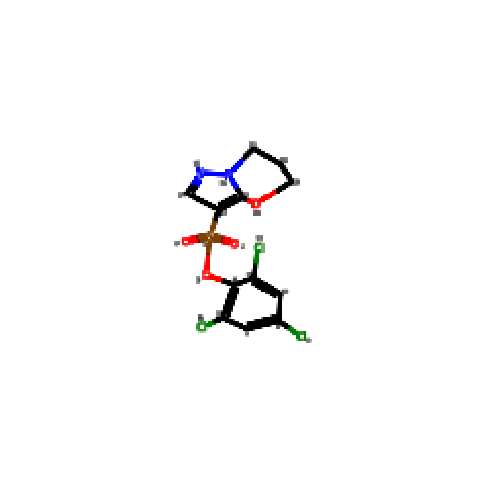 O=S(=O)(Oc1c(Cl)cc(Cl)cc1Cl)c1cnn2c1OCCC2